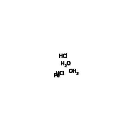 Cl.Cl.O.O.[Fe]